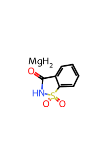 O=C1NS(=O)(=O)c2ccccc21.[MgH2]